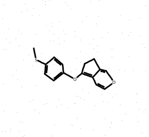 CSc1ccc(OC2=C3C=COC=C3CC2)cc1